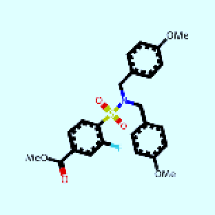 COC(=O)c1ccc(S(=O)(=O)N(Cc2ccc(OC)cc2)Cc2ccc(OC)cc2)c(F)c1